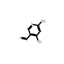 Cc1cc(C)c(C=O)cn1